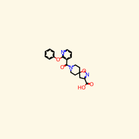 O=C(O)C1=NOC2(CCN(C(=O)c3cccnc3Oc3ccccc3)CC2)C1